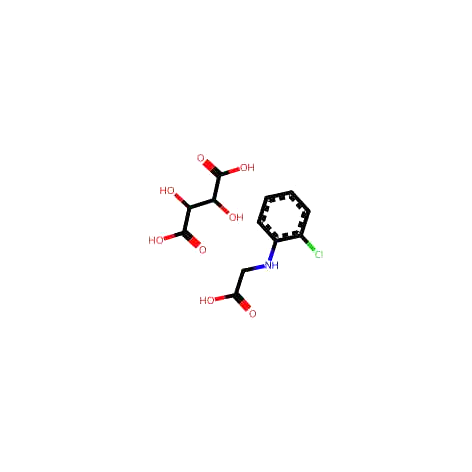 O=C(O)C(O)C(O)C(=O)O.O=C(O)CNc1ccccc1Cl